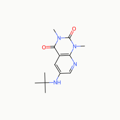 Cn1c(=O)c2cc(NC(C)(C)C)cnc2n(C)c1=O